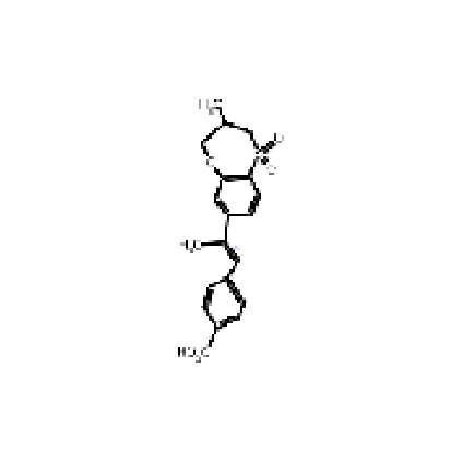 C/C(=C\c1ccc(C(=O)O)cc1)c1ccc2c(c1)CCC(C)CS2(=O)=O